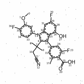 COc1cc(-n2c(C(C)(C)CC#N)c(-c3cc(C)c(C(=O)O)c(F)c3)c3c(O)cc(F)cc32)ccc1F